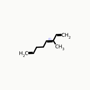 C=CCC/C=C(\C)C=C